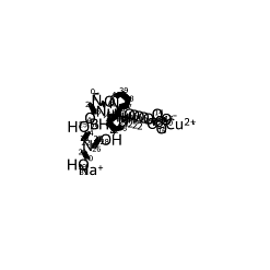 CN1CC(=O)N(C)C1=O.O.O.O.O.O.O=S(=O)([O-])[O-].OCCN(CCO)CCO.[BH4-].[Cu+2].[Na+].c1ccc(-c2ccccn2)nc1